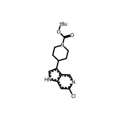 CC(C)(C)OC(=O)N1CCC(c2c[nH]c3cc(Cl)ncc23)CC1